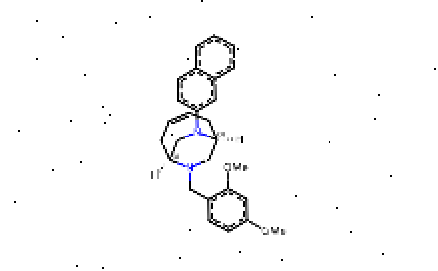 COc1ccc(CN2C[C@@H]3CC=CC[C@H]2CN3c2ccc3ccccc3c2)c(OC)c1